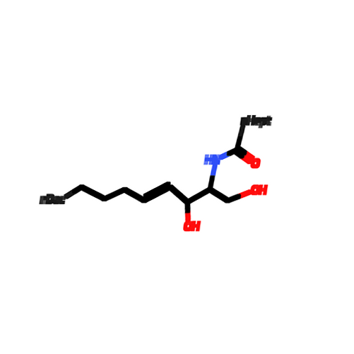 CCCCCCCCCCCCCC=CC(O)C(CO)NC(=O)CCCCCCC